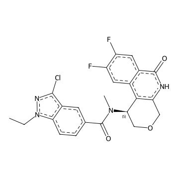 CCn1nc(Cl)c2cc(C(=O)N(C)[C@@H]3COCc4[nH]c(=O)c5cc(F)c(F)cc5c43)ccc21